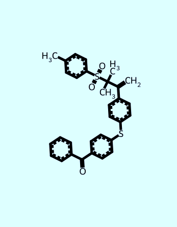 C=C(c1ccc(Sc2ccc(C(=O)c3ccccc3)cc2)cc1)C(C)(C)S(=O)(=O)c1ccc(C)cc1